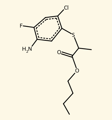 CCCCOC(=O)C(C)Sc1cc(N)c(F)cc1Cl